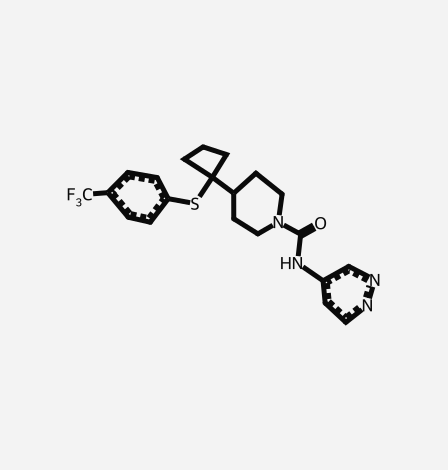 O=C(Nc1ccnnc1)N1CCC(C2(Sc3ccc(C(F)(F)F)cc3)CCC2)CC1